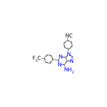 [C-]#[N+]c1ccc(-n2cnc3c(N)nc(-c4ccc(C(F)(F)F)cc4)nc32)cc1